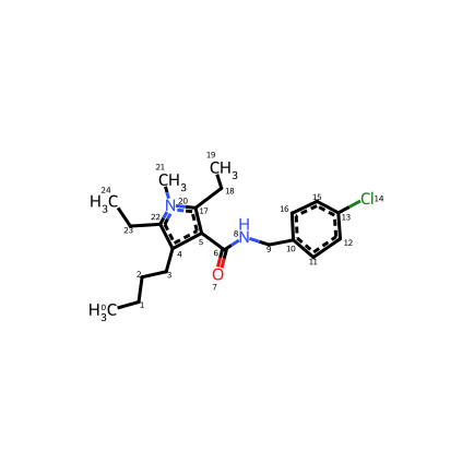 CCCCc1c(C(=O)NCc2ccc(Cl)cc2)c(CC)n(C)c1CC